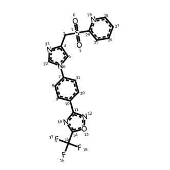 O=S(=O)(Cc1cn(-c2ccc(-c3noc(C(F)(F)F)n3)cc2)cn1)c1ccccn1